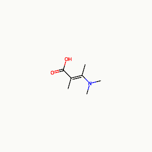 CC(C(=O)O)=C(C)N(C)C